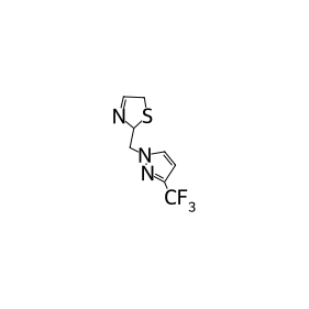 FC(F)(F)c1ccn(CC2N=CCS2)n1